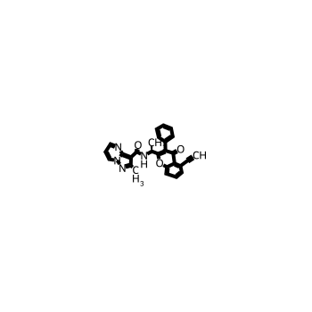 C#Cc1cccc2oc([C@H](C)NC(=O)c3c(C)nn4cccnc34)c(-c3ccccc3)c(=O)c12